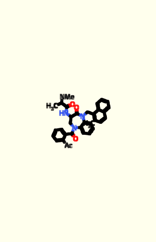 CNC(C)C(=O)NC1CN(C(=O)c2ccccc2C(C)=O)c2ccccc2N(Cc2c(C)ccc3ccccc23)C1=O